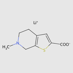 CN1CCc2cc(C(=O)[O-])sc2C1.[Li+]